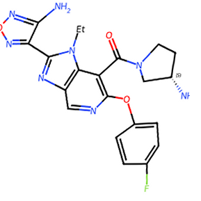 CCn1c(-c2nonc2N)nc2cnc(Oc3ccc(F)cc3)c(C(=O)N3CC[C@H](N)C3)c21